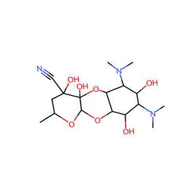 CC1CC(O)(C#N)C2(O)OC3C(OC2O1)C(O)C(N(C)C)C(O)C3N(C)C